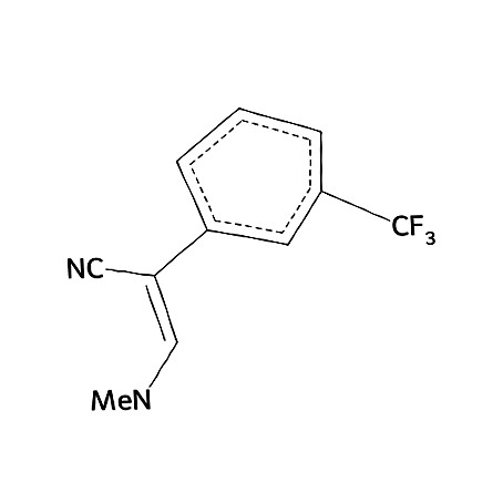 CNC=C(C#N)c1cccc(C(F)(F)F)c1